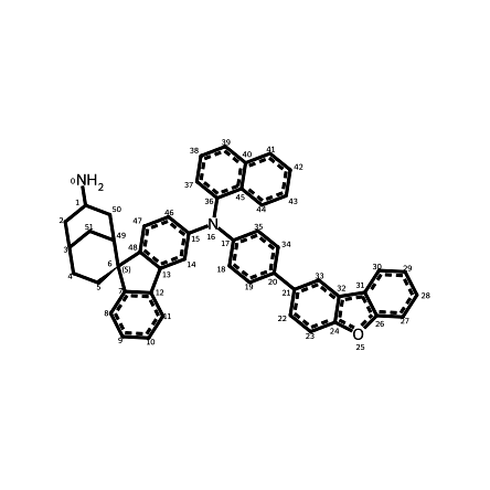 NC1CC2CC[C@@]3(c4ccccc4-c4cc(N(c5ccc(-c6ccc7oc8ccccc8c7c6)cc5)c5cccc6ccccc56)ccc43)C(C1)C2